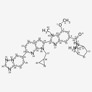 COc1cc(C(=O)N2CC3CCC2[C@@H]3N)cc2nc(-c3cc4ccc(-c5ccc6ncnn6c5)nc4n3CC3CC3)n(C)c12